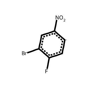 O=[N+]([O-])c1[c]cc(F)c(Br)c1